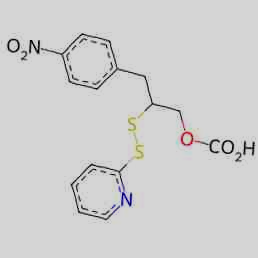 O=C(O)OCC(Cc1ccc([N+](=O)[O-])cc1)SSc1ccccn1